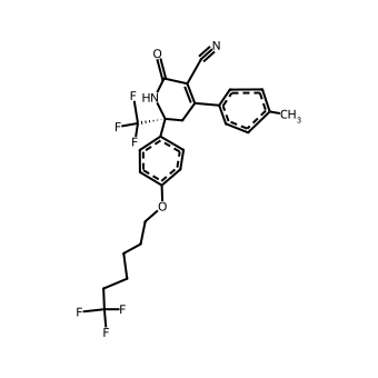 Cc1ccc(C2=C(C#N)C(=O)N[C@@](c3ccc(OCCCCCC(F)(F)F)cc3)(C(F)(F)F)C2)cc1